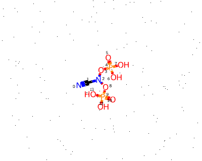 N#CN(OP(=O)(O)O)OP(=O)(O)O